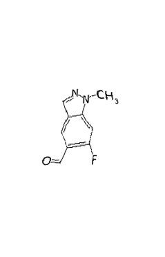 Cn1ncc2cc(C=O)c(F)cc21